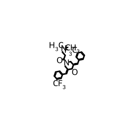 CN(C)CCC(=O)N1C/C(=C\c2cccc(C(F)(F)F)c2)C(=O)/C(=C/c2cccc(C(F)(F)F)c2)C1